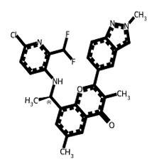 Cc1cc([C@@H](C)Nc2ccc(Cl)nc2C(F)F)c2oc(-c3ccc4nn(C)cc4c3)c(C)c(=O)c2c1